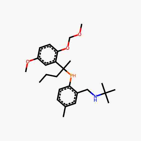 CCCC(C)(Pc1ccc(C)cc1CNC(C)(C)C)c1cc(OC)ccc1OCOC